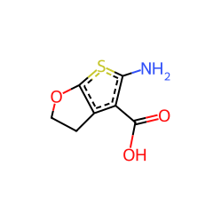 Nc1sc2c(c1C(=O)O)CCO2